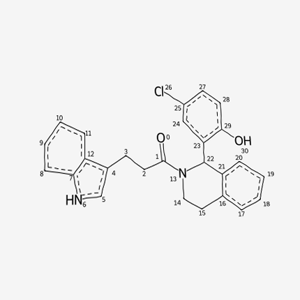 O=C(CCc1c[nH]c2ccccc12)N1CCc2ccccc2C1c1cc(Cl)ccc1O